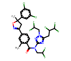 Cc1cc(C2=NOC(c3cc(Cl)cc(Cl)c3)(C(F)(F)F)C2)ccc1C(=O)N(CC(F)F)c1nc(CC(F)C(F)F)n(CC(F)F)n1